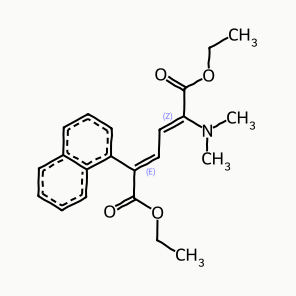 CCOC(=O)/C(=C/C=C(/C(=O)OCC)c1cccc2ccccc12)N(C)C